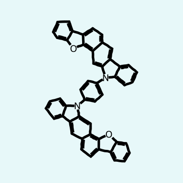 c1ccc2c(c1)oc1c3cc4c(cc3ccc21)c1ccccc1n4-c1ccc(-n2c3ccccc3c3cc4ccc5c6ccccc6oc5c4cc32)cc1